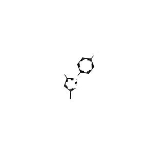 CCOC(=O)c1cc(C)nn1-c1ccc(O)cc1